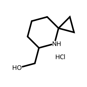 Cl.OCC1CCCC2(CC2)N1